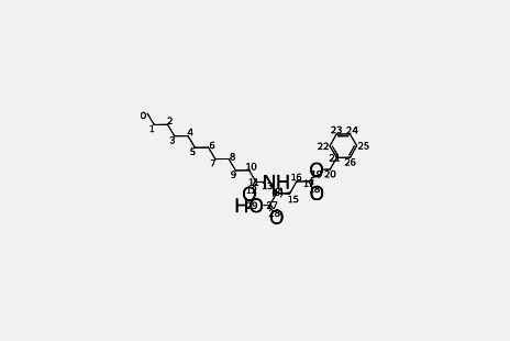 CCCCCCCCCCCC(=O)N[C@@H](CCC(=O)OCc1ccccc1)C(=O)O